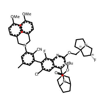 COc1ccc(CN(Cc2ccc(OC)cc2)c2cc(C)cc(-c3c(Cl)cc4c(N5CC6CCC(C5)N6C(=O)OC(C)(C)C)nc(OC[C@@]56CCCN5C[C@H](F)C6)nc4c3F)c2C#N)cc1